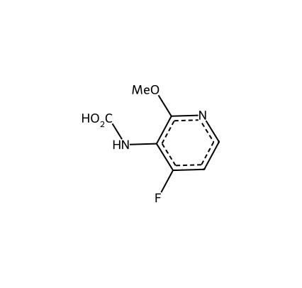 COc1nccc(F)c1NC(=O)O